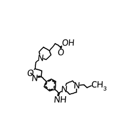 CCCN1CCN(C(=N)c2ccc(C3=NOC(CN4CCC(CC(=O)O)CC4)C3)cc2)CC1